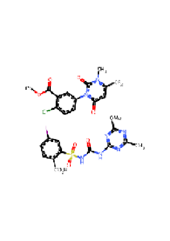 CC(C)OC(=O)c1cc(-n2c(=O)cc(C(F)(F)F)n(C)c2=O)ccc1Cl.COc1nc(C)nc(NC(=O)NS(=O)(=O)c2cc(I)ccc2C(=O)O)n1